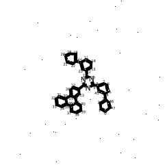 c1ccc(-c2cccc(-c3nc(-c4cccc(-c5ccccc5)c4)nc(-c4ccc5c6ccccc6c6ccccc6c5c4)n3)c2)cc1